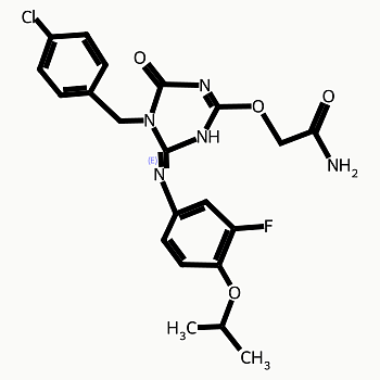 CC(C)Oc1ccc(/N=c2\[nH]c(OCC(N)=O)nc(=O)n2Cc2ccc(Cl)cc2)cc1F